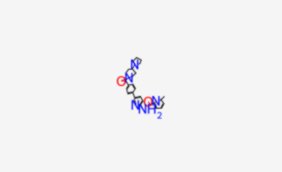 Cc1cccc(COc2cc(-c3ccc(C(=O)N4CCC(N5CCCC5)CC4)cc3)cnc2N)n1